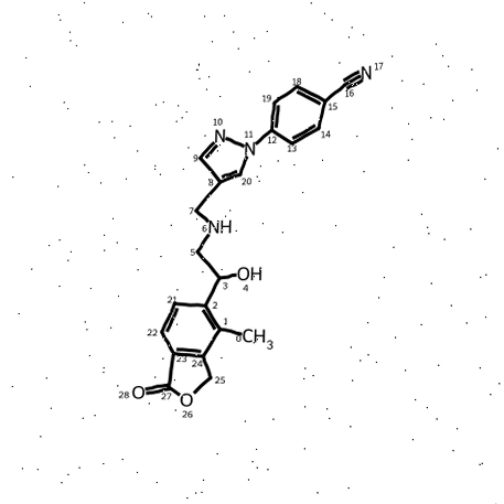 Cc1c(C(O)CNCc2cnn(-c3ccc(C#N)cc3)c2)ccc2c1COC2=O